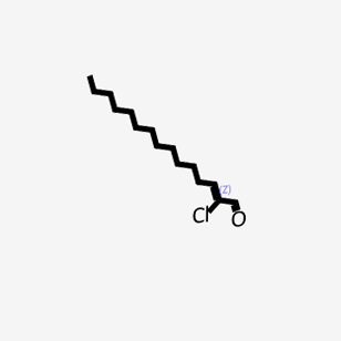 CCCCCCCCCCCC/C=C(\Cl)C=O